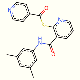 Cc1cc(C)cc(NC(=O)c2cccnc2SC(=O)c2ccncc2)c1